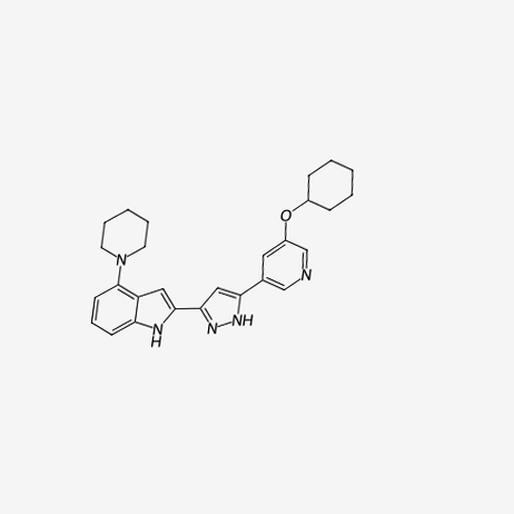 c1cc(N2CCCCC2)c2cc(-c3cc(-c4cncc(OC5CCCCC5)c4)[nH]n3)[nH]c2c1